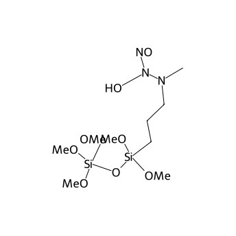 CO[Si](CCCN(C)N(O)N=O)(OC)O[Si](OC)(OC)OC